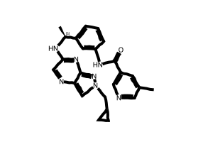 Cc1cncc(C(=O)Nc2cccc([C@H](C)Nc3cnc4cn(CC5CC5)nc4n3)c2)c1